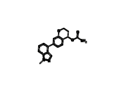 Cn1ncc2c(-c3ccc4c(c3)OCCC4OC(N)=O)cccc21